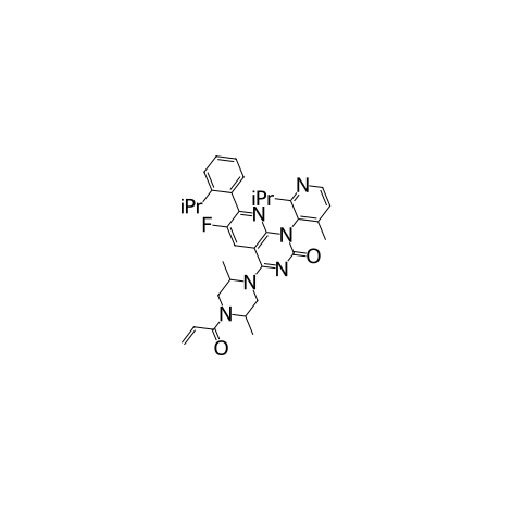 C=CC(=O)N1CC(C)N(c2nc(=O)n(-c3c(C)ccnc3C(C)C)c3nc(-c4ccccc4C(C)C)c(F)cc23)CC1C